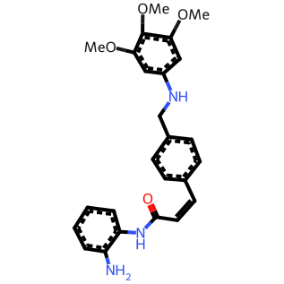 COc1cc(NCc2ccc(/C=C\C(=O)Nc3ccccc3N)cc2)cc(OC)c1OC